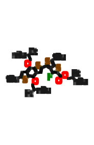 CCCCC(CC)COC(=O)c1sc2c(C(C)(C)C)sc(-c3cc4c(OCC(CC)CCCC)c5sc(C(C)(C)C)cc5c(OCC(CC)CCCC)c4s3)c2c1F